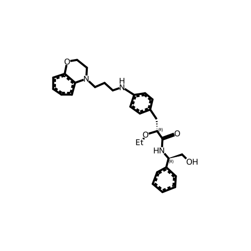 CCO[C@H](Cc1ccc(NCCCN2CCOc3ccccc32)cc1)C(=O)N[C@@H](CO)c1ccccc1